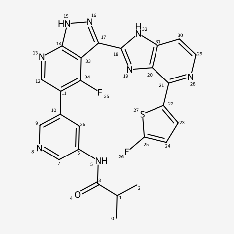 CC(C)C(=O)Nc1cncc(-c2cnc3[nH]nc(-c4nc5c(-c6ccc(F)s6)nccc5[nH]4)c3c2F)c1